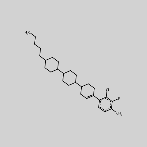 CCCCCC1CCC(C2CCC(C3CC=C(c4ccc(C)c(F)c4Cl)CC3)CC2)CC1